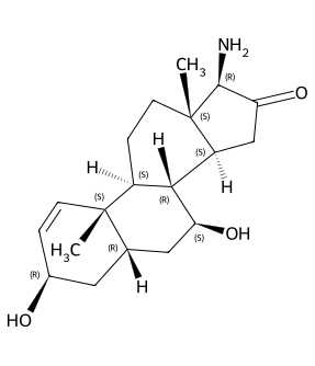 C[C@]12C=C[C@H](O)C[C@H]1C[C@H](O)[C@@H]1[C@@H]2CC[C@]2(C)[C@@H](N)C(=O)C[C@@H]12